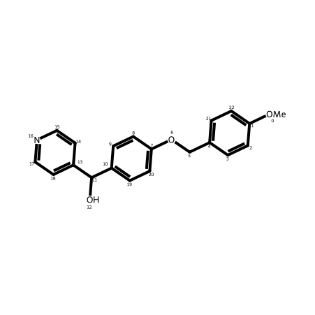 COc1ccc(COc2ccc(C(O)c3ccncc3)cc2)cc1